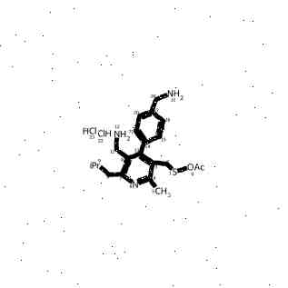 CC(=O)OSCc1c(C)nc(CC(C)C)c(CN)c1-c1ccc(CN)cc1.Cl.Cl